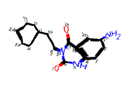 Nc1ccc2[nH]c(=O)n(CCC3CCCCC3)c(=O)c2c1